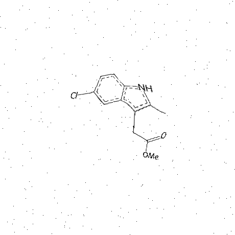 COC(=O)Cc1c(C)[nH]c2ccc(Cl)cc12